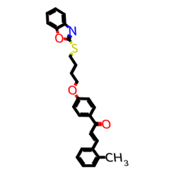 Cc1ccccc1C=CC(=O)c1ccc(OCCCCSc2nc3ccccc3o2)cc1